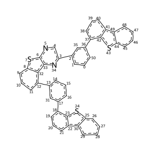 c1cc(-c2cnc3sc4cccc(-c5cccc(-c6cccc7c6sc6ccccc67)c5)c4c3n2)cc(-c2cccc3c2sc2ccccc23)c1